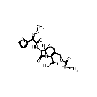 CNC(=O)OCC1=C(C(=O)O)N2C(=O)[C@@H](NC(=O)/C(=N\OC)c3ccco3)[C@H]2SC1